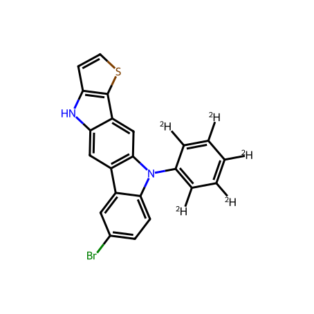 [2H]c1c([2H])c([2H])c(-n2c3ccc(Br)cc3c3cc4[nH]c5ccsc5c4cc32)c([2H])c1[2H]